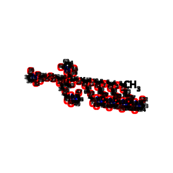 CC(COCC(COCC(COCC(COCC(COCC(COOOCC(=O)ON1C(=O)CCC1=O)OCCOCC(=O)ON1C(=O)CCC1=O)OCCOCC(=O)ON1C(=O)CCC1=O)OCCOCC(=O)ON1C(=O)CCC1=O)OCCOCC(=O)ON1C(=O)CCC1=O)OCCOCC(=O)ON1C(=O)CCC1=O)OCCOCC(=O)ON1C(=O)CCC1=O